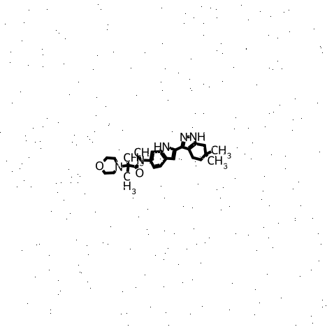 CN(C(=O)C(C)(C)N1CCOCC1)c1ccc2cc(-c3n[nH]c4c3CCC(C)(C)C4)[nH]c2c1